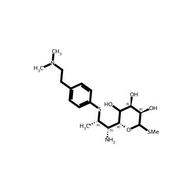 CSC1O[C@H]([C@H](N)[C@H](C)Sc2ccc(CCN(C)C)cc2)C(O)[C@@H](O)[C@H]1O